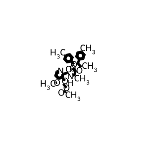 COc1ccnc(C(=O)N[C@@H](C)C(=O)O[C@@H](C)[C@H](Oc2ccc(C)cc2)c2ccc(C)cc2)c1OCOC(C)=O